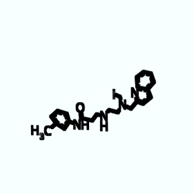 Cc1cccc(NC(=O)CCNCCN(CI)Cc2ccc3ccccc3n2)c1